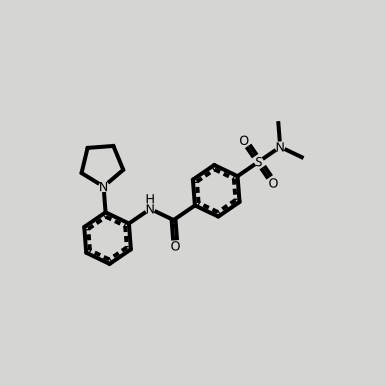 CN(C)S(=O)(=O)c1ccc(C(=O)Nc2ccccc2N2CCCC2)cc1